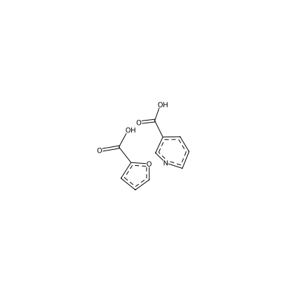 O=C(O)c1cccnc1.O=C(O)c1ccco1